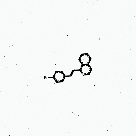 Brc1ccc(C=Cc2nccc3ccccc23)cc1